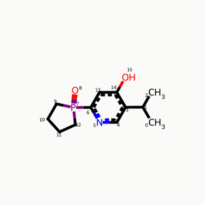 CC(C)c1cnc(P2(=O)CCCC2)cc1O